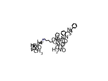 CC(C)n1c(O[C@@H]2C[C@@H](C(N)=O)N(C(=O)[C@H](CCCCC/C=C\[C@@H]3C[C@]3(I)C(=O)NS(=O)(=O)C3(C)CC3)NC(=O)N3CCCC3)C2)nc2c(-c3nc(-c4ccccc4)cs3)cccc21